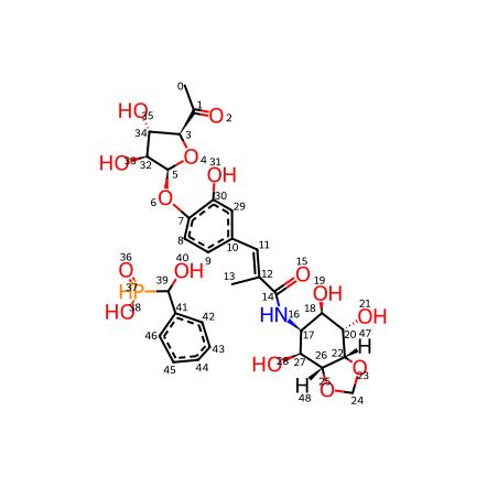 CC(=O)[C@H]1O[C@@H](Oc2ccc(/C=C(\C)C(=O)N[C@H]3[C@@H](O)[C@H](O)[C@@H]4OCO[C@@H]4[C@H]3O)cc2O)[C@@H](O)[C@@H]1O.O=[PH](O)C(O)c1ccccc1